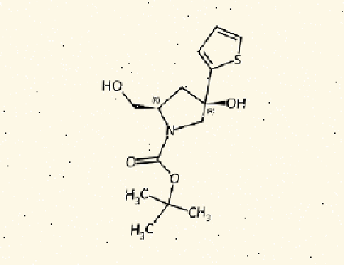 CC(C)(C)OC(=O)N1C[C@@](O)(c2cccs2)C[C@@H]1CO